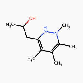 CC1=C(CC(C)O)NN(C)C(C)=C1C